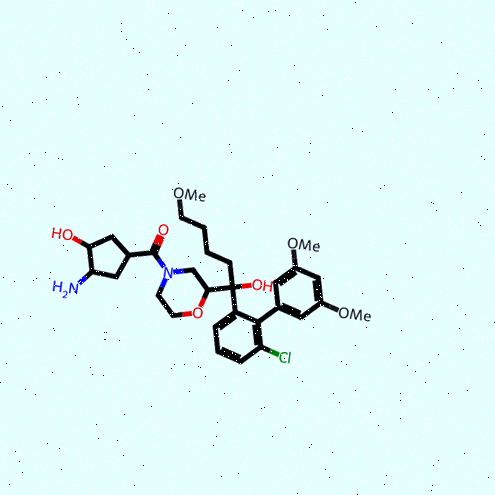 COCCCCC(O)(c1cccc(Cl)c1-c1cc(OC)cc(OC)c1)C1CN(C(=O)C2CC(N)C(O)C2)CCO1